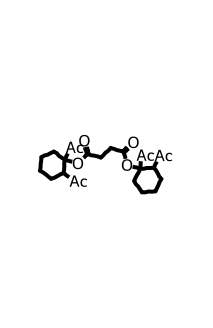 CC(=O)C1CCCCC1(OC(=O)CCC(=O)OC1(C(C)=O)CCCCC1C(C)=O)C(C)=O